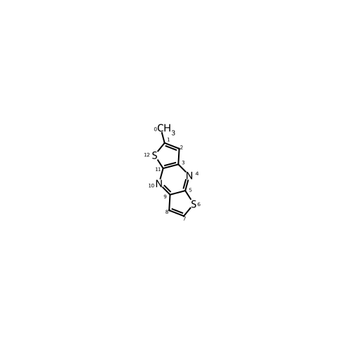 Cc1cc2nc3sccc3nc2s1